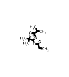 C=CC(=O)OC(OC(=O)C(=C)C)C(C)(C)C